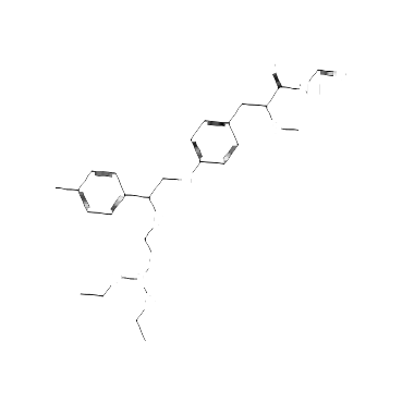 CCOP(OCC)OCOC(COc1ccc(CC(SC)C(=O)NC=O)cc1)c1ccc(C)cc1